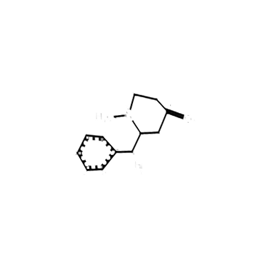 CN1CCC(=O)CC1Cc1ccccc1.I